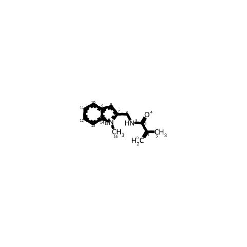 C=C(C)C(=O)NCc1cc2ccccc2n1C